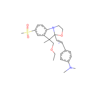 CCOCC1(C)c2cc(S(C)(=O)=O)ccc2N2CCOC21/C=C/c1ccc(N(C)C)cc1